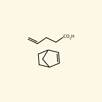 C1=CC2CCC1C2.C=CCCC(=O)O